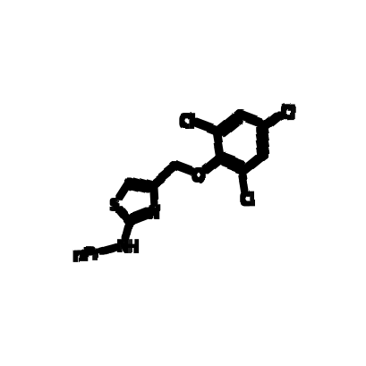 CCCNc1nc(COc2c(Cl)cc(Cl)cc2Cl)cs1